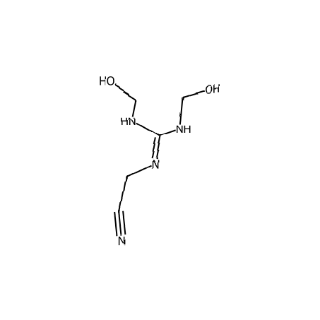 N#CCN=C(NCO)NCO